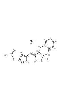 O=C([O-])Cc1csc(N=C2SC[C@@H]3Cc4ccccc4CN23)n1.[Na+]